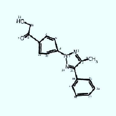 Cc1nn(-c2ccc(C(=O)CO)cc2)nc1-c1ccccc1